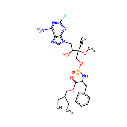 C#C[C@](CO[PH](=O)N[C@@H](Cc1ccccc1)C(=O)OCC(CC)CC)(OC)[C@@H](O)Cn1cnc2c(N)nc(F)nc21